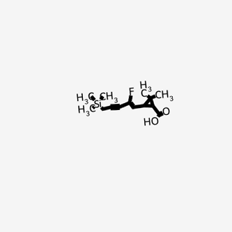 CC1(C)C(C=C(F)C#CC[Si](C)(C)C)C1C(=O)O